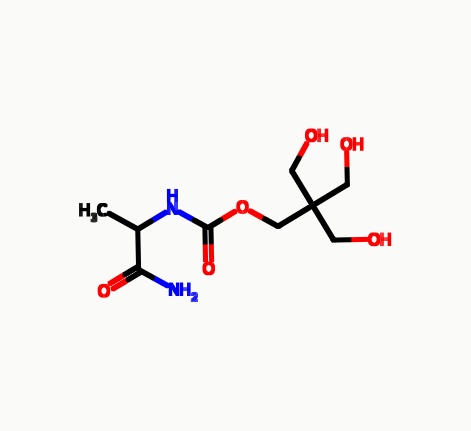 CC(NC(=O)OCC(CO)(CO)CO)C(N)=O